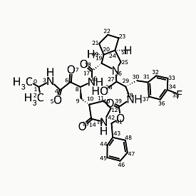 CC(C)NC(=O)C(=O)[C@H](C[C@@H]1CCNC1=O)NC(=O)[C@@H]1[C@H]2CCC[C@H]2CN1C(O)[C@H](Cc1ccc(F)cc1)NC(=O)OCc1ccccc1